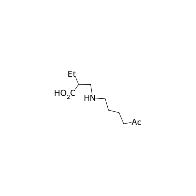 CCC(CNCCCCC(C)=O)C(=O)O